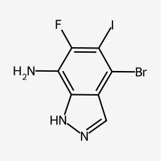 Nc1c(F)c(I)c(Br)c2cn[nH]c12